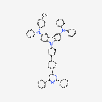 N#Cc1ccc(N(c2ccccc2)c2ccc3c(c2)c2cc(N(c4ccccc4)c4ccccc4)ccc2n3-c2ccc(-c3ccc(-c4cc(-c5ccccc5)nc(-c5ccccc5)n4)cc3)cc2)cc1